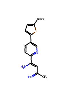 CCCCCCc1ccc(-c2ccc(/C(N)=C/C(=N)C(F)(F)F)nc2)s1